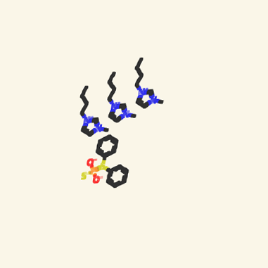 CCCC[n+]1ccn(C)c1.CCCC[n+]1ccn(C)c1.CCCC[n+]1ccn(C)c1.[O-]P([O-])([S-])=S(c1ccccc1)c1ccccc1